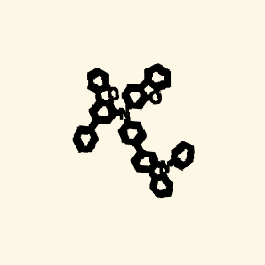 c1ccc(-c2cc(N(c3ccc(-c4ccc5c6ccccc6n(-c6ccccc6)c5c4)cc3)c3ccc4c(c3)oc3ccccc34)c3oc4ccccc4c3c2)cc1